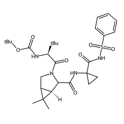 CC(C)(C)OC(=O)N[C@H](C(=O)N1CC2[C@@H](C1C(=O)NC1(C(=O)NS(=O)(=O)c3ccccc3)CC1)C2(C)C)C(C)(C)C